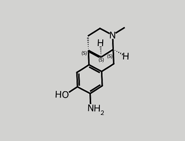 CN1CC[C@@]23CCCC[C@@H]2[C@@H]1Cc1cc(N)c(O)cc13